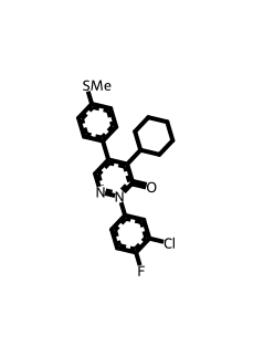 CSc1ccc(-c2cnn(-c3ccc(F)c(Cl)c3)c(=O)c2C2CCCCC2)cc1